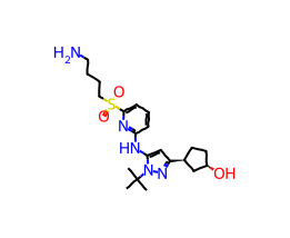 CC(C)(C)n1nc([C@H]2CC[C@@H](O)C2)cc1Nc1cccc(S(=O)(=O)CCCCN)n1